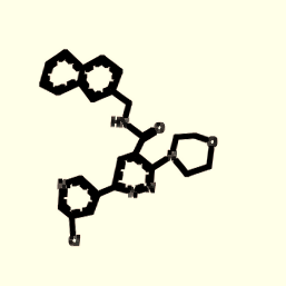 O=C(NCc1ccc2ccccc2c1)c1cc(-c2cncc(Cl)c2)nnc1N1CCOCC1